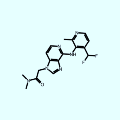 Cc1nccc(C(F)F)c1Nc1nccc2c1ncn2CC(=O)N(C)C